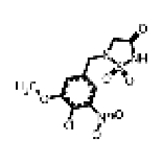 COc1cc(CN2CC(=O)NS2(=O)=O)cc([N+](=O)[O-])c1Cl